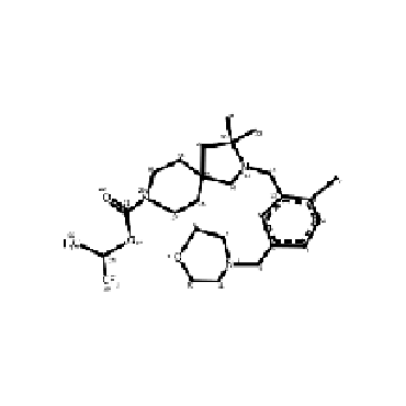 Cc1ccc(CN2CCOCC2)cc1CN1CC2(CCN(C(=O)OC(C(F)(F)F)C(F)(F)F)CC2)CC1(C)C